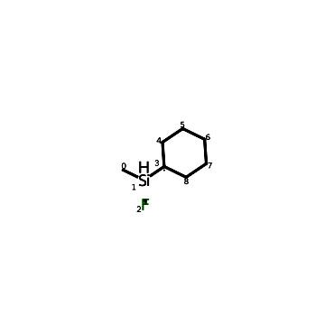 C[SiH](F)[C]1CCCCC1